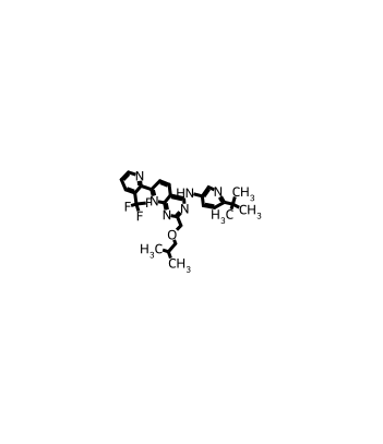 CC(C)COCc1nc(Nc2ccc(C(C)(C)C)nc2)c2ccc(-c3ncccc3C(F)(F)F)nc2n1